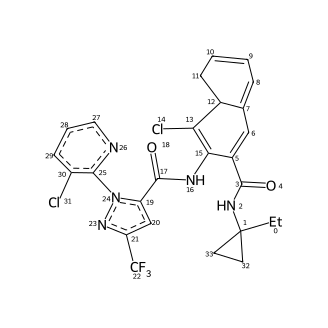 CCC1(NC(=O)C2=CC3=CC=CCC3C(Cl)=C2NC(=O)c2cc(C(F)(F)F)nn2-c2ncccc2Cl)CC1